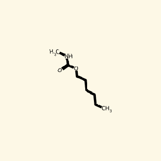 CCCCCCOC(=O)NC